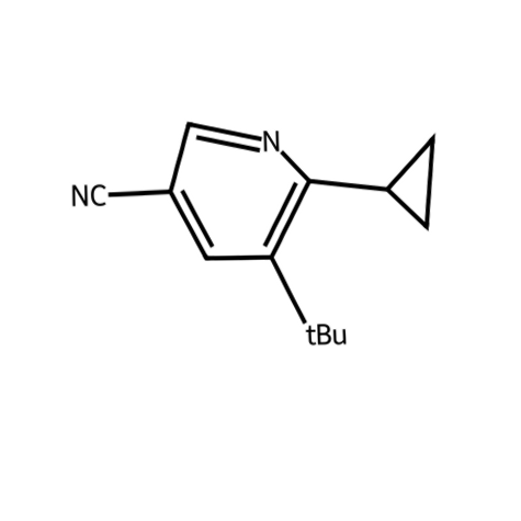 CC(C)(C)c1cc(C#N)cnc1C1CC1